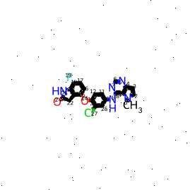 Cn1ccc2ncnc(Nc3ccc(Oc4ccc(F)c5c4CC(=O)N5)c(Cl)c3)c21